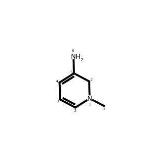 CN1C=CC=C(N)C1